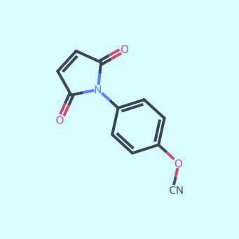 N#COc1ccc(N2C(=O)C=CC2=O)cc1